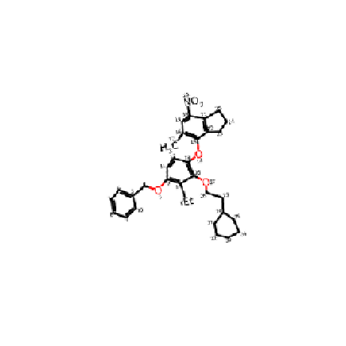 CCc1c(OCc2ccccc2)ccc(Oc2c(C)cc([N+](=O)[O-])c3c2CCC3)c1OCCC1CCCCC1